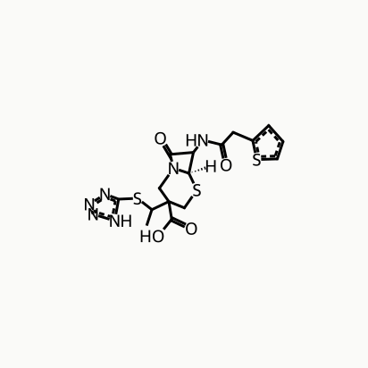 CC(Sc1nnn[nH]1)C1(C(=O)O)CS[C@@H]2C(NC(=O)Cc3cccs3)C(=O)N2C1